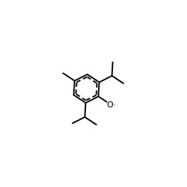 Cc1cc(C(C)C)c([O])c(C(C)C)c1